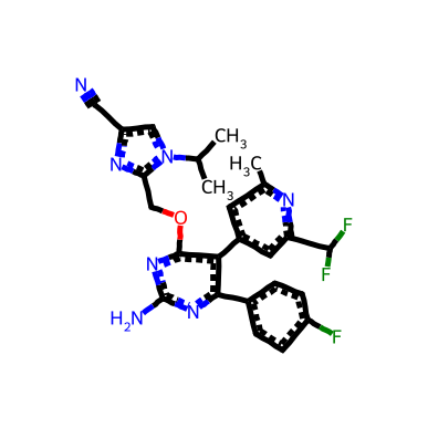 Cc1cc(-c2c(OCc3nc(C#N)cn3C(C)C)nc(N)nc2-c2ccc(F)cc2)cc(C(F)F)n1